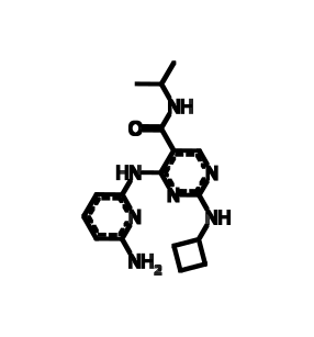 CC(C)NC(=O)c1cnc(NC2CCC2)nc1Nc1cccc(N)n1